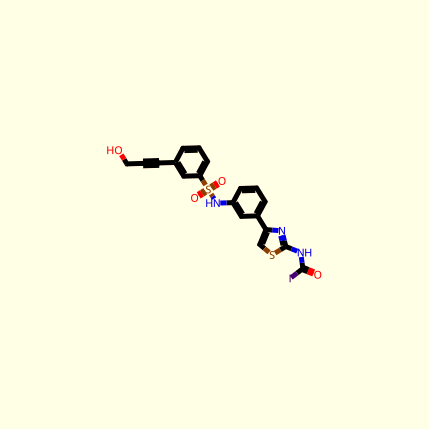 O=C(I)Nc1nc(-c2cccc(NS(=O)(=O)c3cccc(C#CCO)c3)c2)cs1